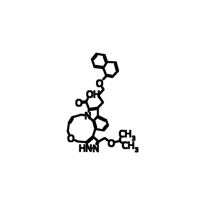 CC(C)OCc1n[nH]c2c1-c1cccc3c(CCCOc4cccc5ccccc45)c(C(=O)O)n(c13)C/C=C\COC2